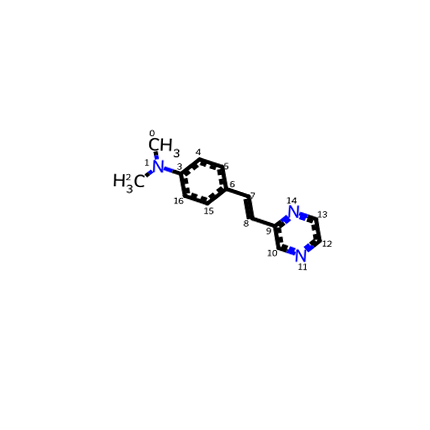 CN(C)c1ccc(/C=C/c2cnccn2)cc1